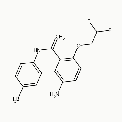 Bc1ccc(NC(=C)c2cc(N)ccc2OCC(F)F)cc1